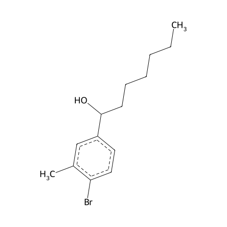 CCCCCCC(O)c1ccc(Br)c(C)c1